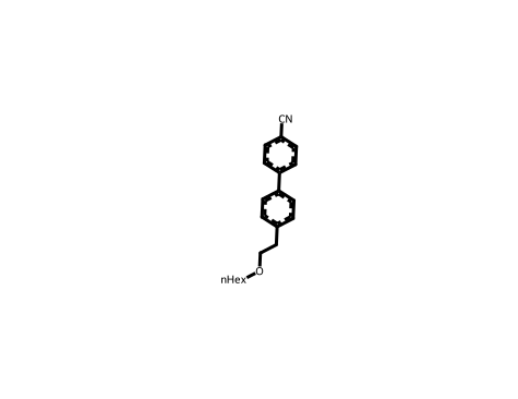 CCCCCCOCCc1ccc(-c2ccc(C#N)cc2)cc1